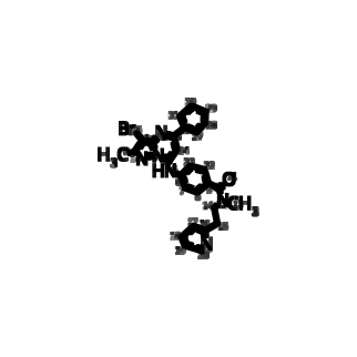 Cc1nn2c(Nc3ccc(C(=O)N(C)CCc4ccccn4)cc3)cc(-c3ccccc3)nc2c1Br